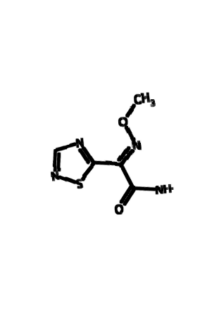 CO/N=C(/C([NH])=O)c1ncns1